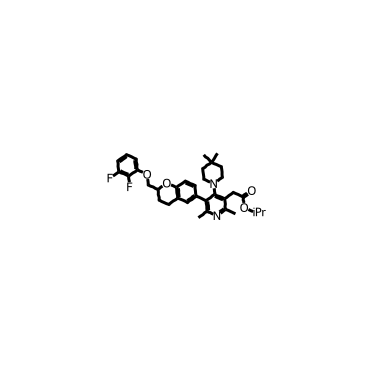 Cc1nc(C)c(-c2ccc3c(c2)CCC(COc2cccc(F)c2F)O3)c(N2CCC(C)(C)CC2)c1CC(=O)OC(C)C